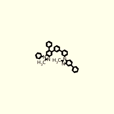 Cc1nc2cc(-c3ccccc3)ccc2n1-c1cccc(-c2cccc(-c3cc4nc(C)n(-c5ccccc5)c4cc3-c3ccccc3)c2)c1